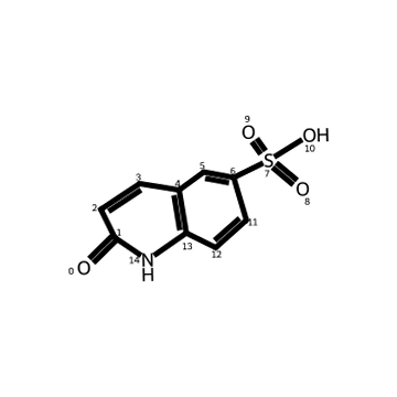 O=c1ccc2cc(S(=O)(=O)O)ccc2[nH]1